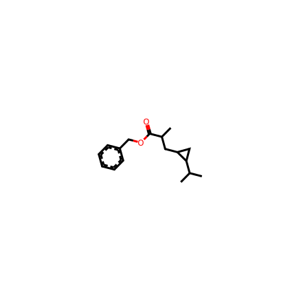 CC(CC1CC1C(C)C)C(=O)OCc1ccccc1